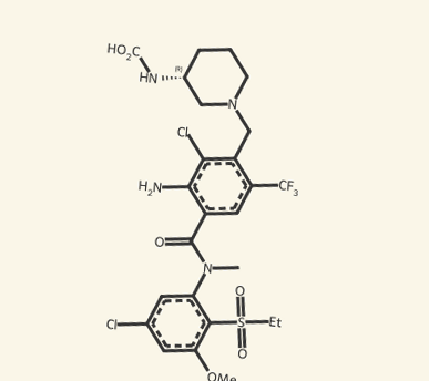 CCS(=O)(=O)c1c(OC)cc(Cl)cc1N(C)C(=O)c1cc(C(F)(F)F)c(CN2CCC[C@@H](NC(=O)O)C2)c(Cl)c1N